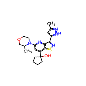 Cc1cc(-c2nsc3c(C4(O)CCCC4)cc(N4CCOCC4C)nc23)[nH]n1